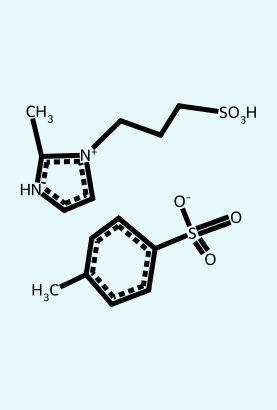 Cc1[nH]cc[n+]1CCCS(=O)(=O)O.Cc1ccc(S(=O)(=O)[O-])cc1